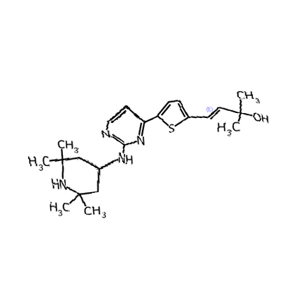 CC(C)(O)/C=C/c1ccc(-c2ccnc(NC3CC(C)(C)NC(C)(C)C3)n2)s1